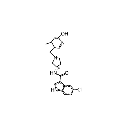 CC1C=C(O)N=CC1CN1CC[C@H](NC(=O)c2c[nH]c3ccc(Cl)cc23)C1